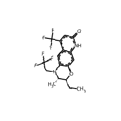 CCC1Oc2cc3[nH]c(=O)cc(C(F)(F)F)c3cc2N(CC(F)(F)F)[C@H]1C